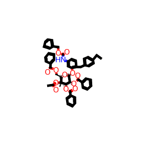 CCc1ccc(Cc2ccc(NC(=O)OCc3ccccc3)cc2O[C@@H]2O[C@H](COC(=O)c3ccccc3)[C@@](C)(OC(C)=O)[C@H](OC(=O)c3ccccc3)[C@H]2OC(=O)c2ccccc2)cc1